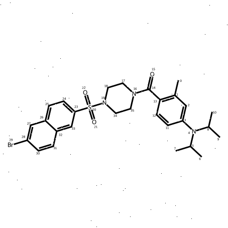 Cc1cc(N(C(C)C)C(C)C)ccc1C(=O)N1CCN(S(=O)(=O)c2ccc3cc(Br)ccc3c2)CC1